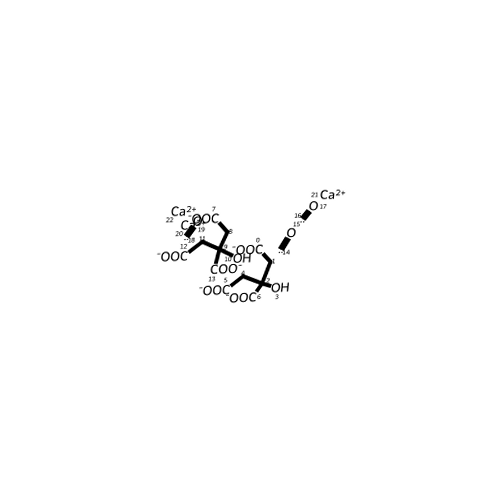 O=C([O-])CC(O)(CC(=O)[O-])C(=O)[O-].O=C([O-])CC(O)(CC(=O)[O-])C(=O)[O-].[C]=O.[C]=O.[C]=O.[Ca+2].[Ca+2].[Ca+2]